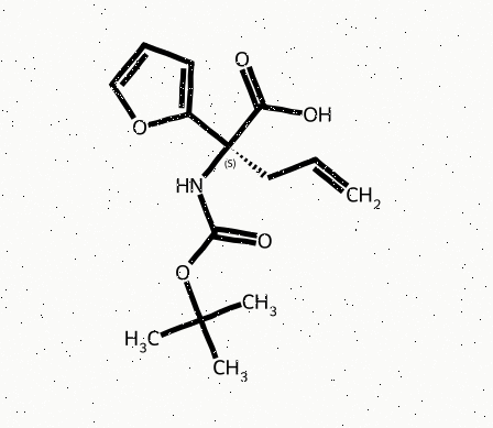 C=CC[C@@](NC(=O)OC(C)(C)C)(C(=O)O)c1ccco1